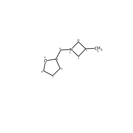 CC1CN(CC2CCCO2)C1